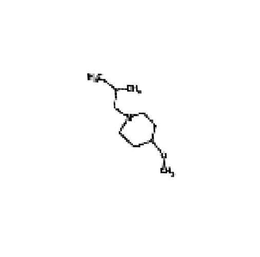 COC1CCN(CC(C)C)CC1